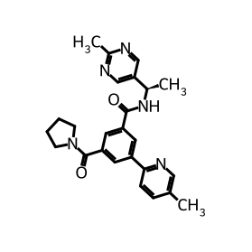 Cc1ccc(-c2cc(C(=O)N[C@H](C)c3cnc(C)nc3)cc(C(=O)N3CCCC3)c2)nc1